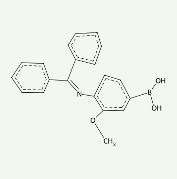 COc1cc(B(O)O)ccc1N=C(c1ccccc1)c1ccccc1